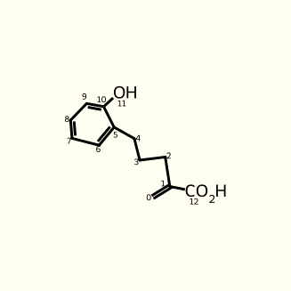 C=C(CCCc1ccccc1O)C(=O)O